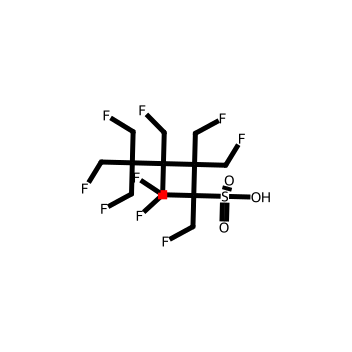 O=S(=O)(O)C(CF)(CF)C(CF)(CF)C(CF)(CF)C(CF)(CF)CF